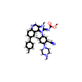 COC(=O)N=c1n(C)c2cnc3ccc(-c4ccc(C)cc4)cc3c2n1-c1cc(C#N)c(N2CCN(C)CC2)cc1C